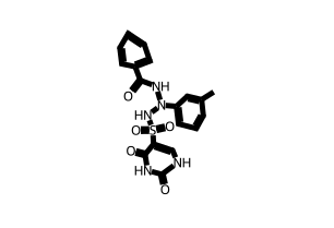 Cc1cccc(N(NC(=O)c2ccccc2)NS(=O)(=O)c2c[nH]c(=O)[nH]c2=O)c1